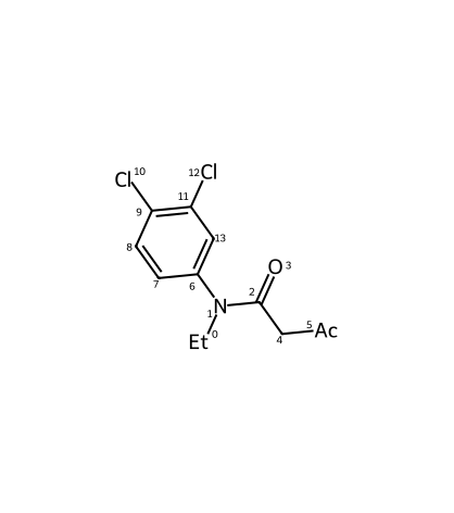 CCN(C(=O)CC(C)=O)c1ccc(Cl)c(Cl)c1